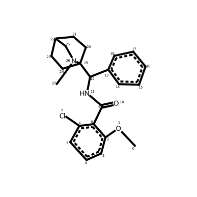 COc1cccc(Cl)c1C(=O)NC(c1ccccc1)C12CCC(CC1)CN2C